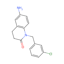 Nc1ccc2c(c1)CCC(=O)N2Cc1cccc(Cl)c1